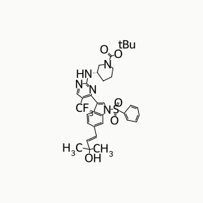 CC(C)(O)/C=C/c1ccc2c(-c3nc(N[C@H]4CCCN(C(=O)OC(C)(C)C)C4)ncc3C(F)(F)F)cn(S(=O)(=O)c3ccccc3)c2c1